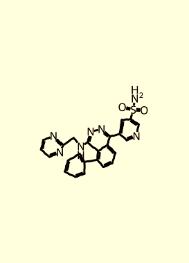 NS(=O)(=O)c1cncc(-c2nnc(NCc3ncccn3)c3c(-c4ccccc4)cccc23)c1